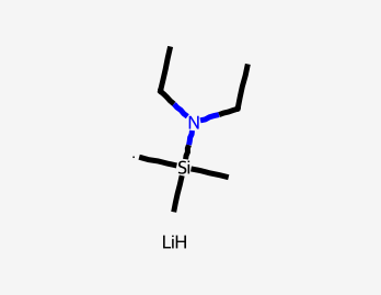 [CH2][Si](C)(C)N(CC)CC.[LiH]